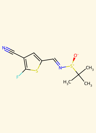 CC(C)(C)[S@+]([O-])N=Cc1cc(C#N)c(F)s1